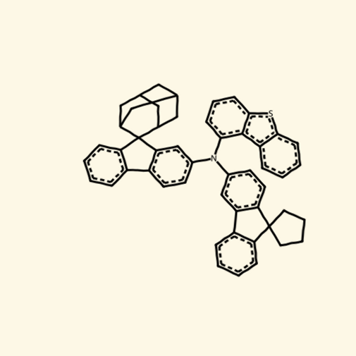 c1ccc2c(c1)-c1cc(N(c3ccc4c(c3)C3(c5ccccc5-4)C4CC5CC(C4)CC3C5)c3cccc4sc5ccccc5c34)ccc1C21CCCC1